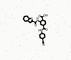 N#Cc1ccc(NC(=O)c2ccc(C(=O)O)c(NC(=O)c3cc4ccccc4s3)c2)cc1